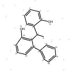 CC(c1ccccc1O)c1c(O)cccc1-c1ccccc1